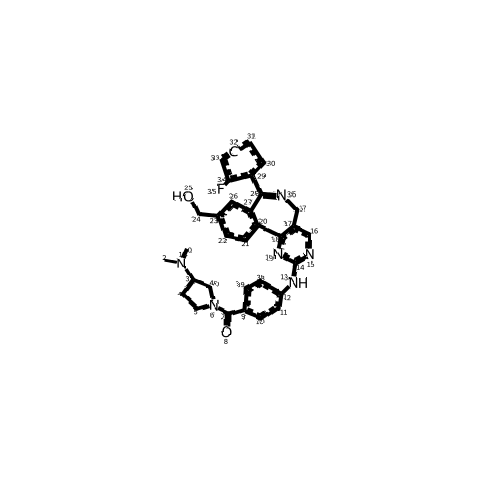 CN(C)C1CCN(C(=O)c2ccc(Nc3ncc4c(n3)-c3ccc(CO)cc3C(c3ccccc3F)=NC4)cc2)C1